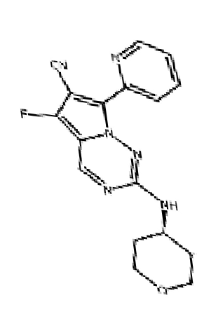 N#Cc1c(F)c2cnc(N[C@@H]3CCOC[C@H]3O)nn2c1-c1ccccn1